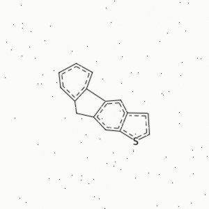 c1ccc2c(c1)Cc1cc3sccc3cc1-2